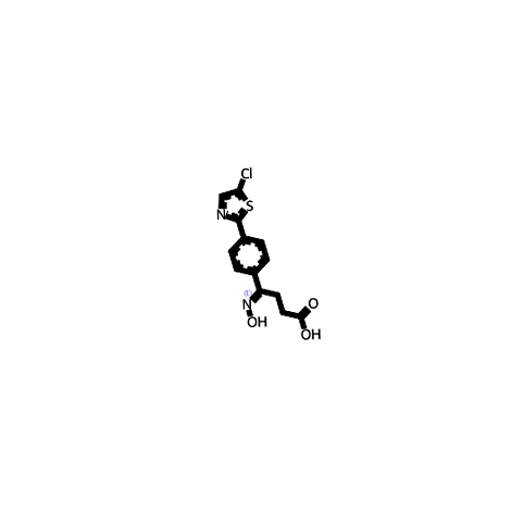 O=C(O)CC/C(=N\O)c1ccc(-c2ncc(Cl)s2)cc1